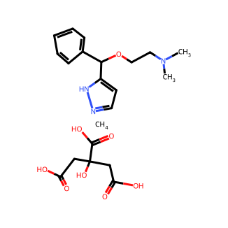 C.CN(C)CCOC(c1ccccc1)c1ccn[nH]1.O=C(O)CC(O)(CC(=O)O)C(=O)O